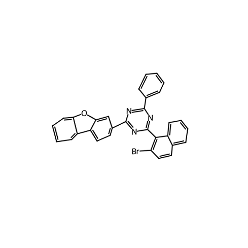 Brc1ccc2ccccc2c1-c1nc(-c2ccccc2)nc(-c2ccc3c(c2)oc2ccccc23)n1